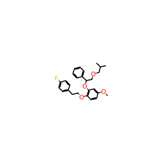 COc1ccc(OCCc2ccc(F)cc2)c(OC(COCC(C)C)c2ccccc2)c1